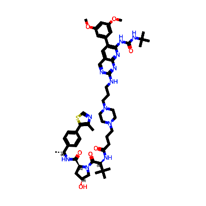 COc1cc(OC)cc(-c2cc3cnc(NCCCN4CCN(CCCC(=O)N[C@H](C(=O)N5C[C@H](O)C[C@H]5C(=O)N[C@H](C)c5ccc(-c6scnc6C)cc5)C(C)(C)C)CC4)nc3nc2NC(=O)NC(C)(C)C)c1